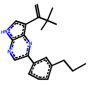 C=C(c1c[nH]c2ncc(-c3cccc(CCC)c3)nc12)C(C)(C)C